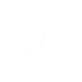 OCc1cc[n+](Cc2ccccc2)cc1F